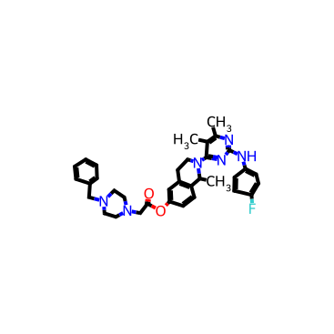 Cc1nc(Nc2ccc(F)cc2)nc(N2CCc3cc(OC(=O)CN4CCN(Cc5ccccc5)CC4)ccc3C2C)c1C